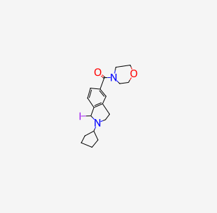 O=C(c1ccc2c(c1)CCN(C1CCCC1)C2I)N1CCOCC1